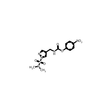 CN(C)S(=O)(=O)n1cc(CNC(=O)Oc2ccc([N+](=O)[O-])cc2)cn1